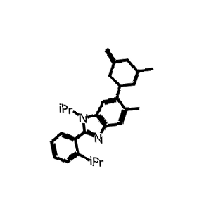 C=C1CC(C)CC(c2cc3c(cc2C)nc(-c2ccccc2C(C)C)n3C(C)C)C1